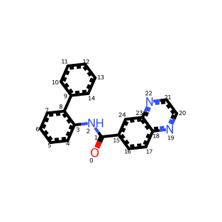 O=C(Nc1ccccc1-c1ccccc1)c1ccc2nccnc2c1